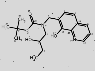 CCC(O)CN(Cc1ccc2cccnc2c1O)C(=O)OC(C)(C)C